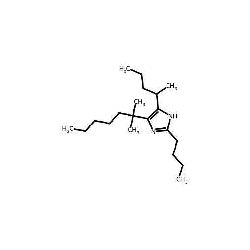 CCCCCC(C)(C)c1nc(CCCC)[nH]c1C(C)CCC